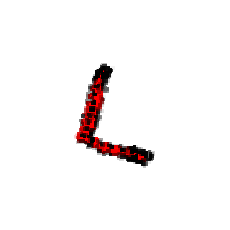 CCC[N+]1(C)CCCC1.CCC[N+]1(C)CCCC1.CCC[N+]1(C)CCCC1.CCC[N+]1(C)CCCC1.CCC[N+]1(C)CCCC1.CCC[N+]1(C)CCCC1.CCC[N+]1(C)CCCC1.CCC[N+]1(C)CCCC1.CCC[N+]1(C)CCCC1.CCC[N+]1(C)CCCC1.CCC[N+]1(C)CCCC1.CCC[N+]1(C)CCCC1.O=P([O-])([O-])F.O=P([O-])([O-])F.O=P([O-])([O-])F.O=P([O-])([O-])F.O=P([O-])([O-])F.O=P([O-])([O-])F